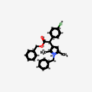 Cc1cc(C(C(=O)OCc2ccccc2)c2ccc(Cl)cc2)c(C)n1Cc1ccccc1